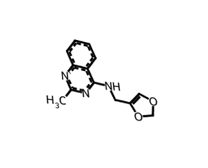 Cc1nc(NCC2=COCO2)c2ccccc2n1